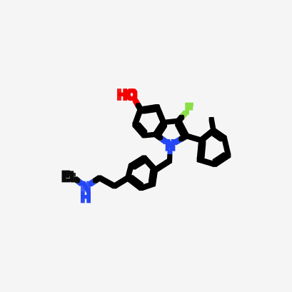 CCNCCc1ccc(Cn2c(-c3ccccc3C)c(F)c3cc(O)ccc32)cc1